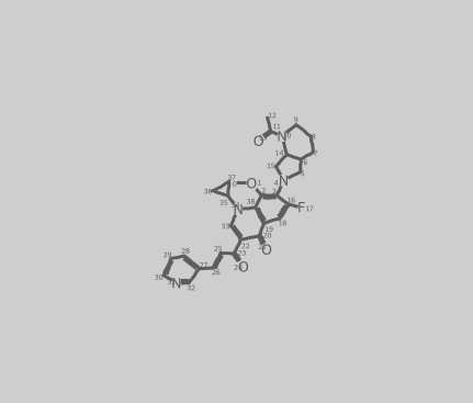 COc1c(N2CC3CCCN(C(C)=O)C3C2)c(F)cc2c(=O)c(C(=O)C=Cc3cccnc3)cn(C3CC3)c12